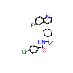 O=C(NC1([C@H]2CC[C@@H](c3ccnc4ccc(F)cc43)CC2)CC1)c1ccc(Cl)cc1